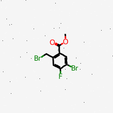 COC(=O)c1cc(Br)c(F)cc1CBr